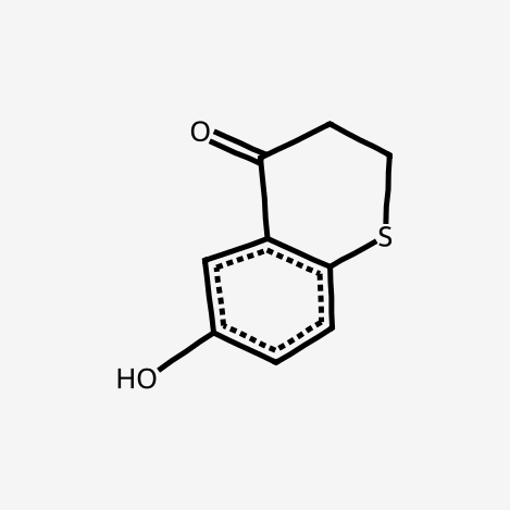 O=C1CCSc2ccc(O)cc21